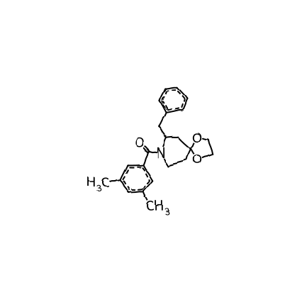 Cc1cc(C)cc(C(=O)N2CCC3(CC2Cc2ccccc2)OCCO3)c1